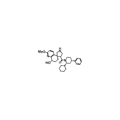 COc1ccc2c(n1)C(O)CC[C@]21CNCC1C(=O)N1CC[C@@H](c2ccccc2)C[C@H]1C1CCCCC1